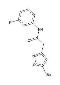 CC(C)(C)c1cc(CC(=O)Nc2cccc(F)c2)no1